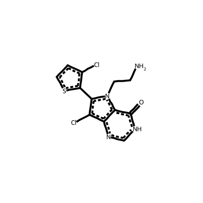 NCCn1c(-c2sccc2Cl)c(Cl)c2nc[nH]c(=O)c21